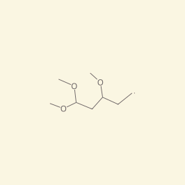 [CH2]CC(CC(OC)OC)OC